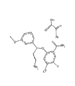 COc1cccc(C(CCN)Oc2cc(Cl)c(F)cc2C(N)=O)n1.O=C(O)C(=O)O